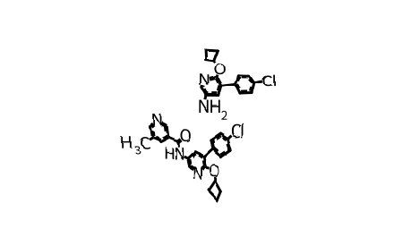 Cc1cncc(C(=O)Nc2cnc(OC3CCC3)c(-c3ccc(Cl)cc3)c2)c1.Nc1cnc(OC2CCC2)c(-c2ccc(Cl)cc2)c1